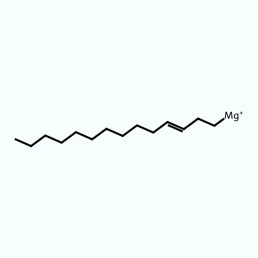 CCCCCCCCCC/C=C/C[CH2][Mg+]